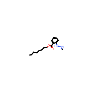 CCCCCCCCOC(=O)c1ccccc1NNC